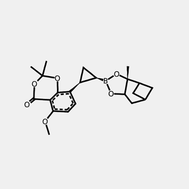 COc1ccc([C@H]2C[C@H]2B2OC3CC4CC(C4)[C@@]3(C)O2)c2c1C(=O)OC(C)(C)O2